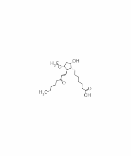 CCCCCC(=O)C=C[C@@H]1[C@@H](CCCCCCC(=O)O)[C@@H](O)C[C@H]1OC